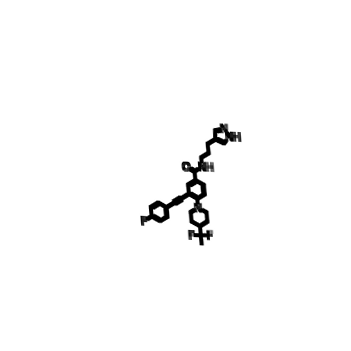 CC(F)(F)C1CCN(c2ccc(C(=O)NCCCc3cn[nH]c3)cc2C#Cc2ccc(F)cc2)CC1